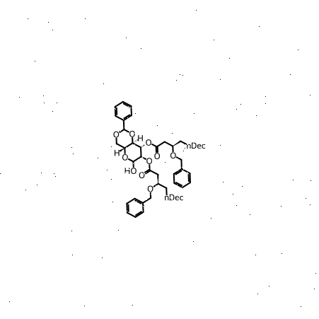 CCCCCCCCCCC[C@H](CC(=O)O[C@H]1[C@@H]2OC(c3ccccc3)OC[C@H]2OC(O)[C@@H]1OC(=O)C[C@@H](CCCCCCCCCCC)OCc1ccccc1)OCc1ccccc1